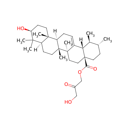 C[C@H]1[C@H](C)CC[C@]2(C(=O)OCC(=O)CO)CC[C@]3(C)C(=CC[C@@H]4[C@@]5(C)CC[C@H](O)C(C)(C)[C@@H]5CC[C@]43C)[C@H]12